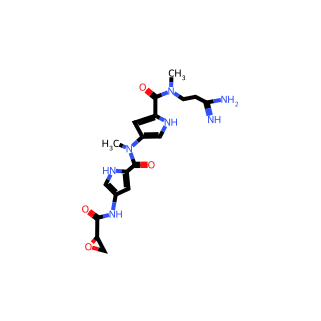 CN(CCC(=N)N)C(=O)c1cc(N(C)C(=O)c2cc(NC(=O)C3CO3)c[nH]2)c[nH]1